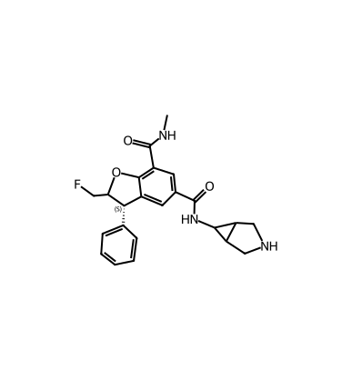 CNC(=O)c1cc(C(=O)NC2C3CNCC32)cc2c1OC(CF)[C@H]2c1ccccc1